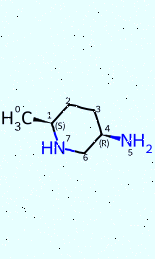 C[C@H]1CC[C@@H](N)CN1